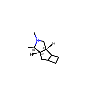 C[C@@H]1[C@H]2CC3CCC3[C@H]2CN1C